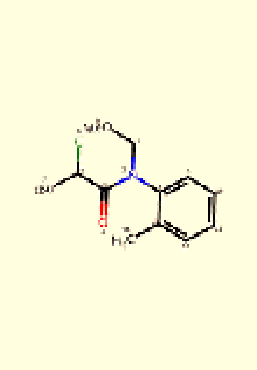 COCN(C(=O)C(Cl)C(C)(C)C)c1ccccc1C